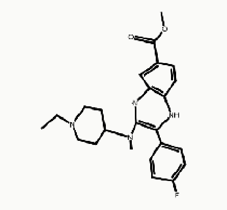 CCN1CCC(N(C)C2=C(c3ccc(F)cc3)Nc3ccc(C(=O)OC)cc3[N]2)CC1